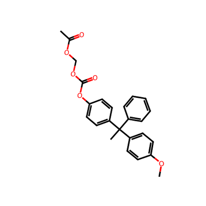 COc1ccc(C(C)(c2ccccc2)c2ccc(OC(=O)OCOC(C)=O)cc2)cc1